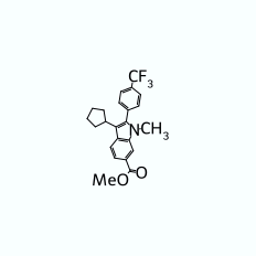 COC(=O)c1ccc2c(C3CCCC3)c(-c3ccc(C(F)(F)F)cc3)n(C)c2c1